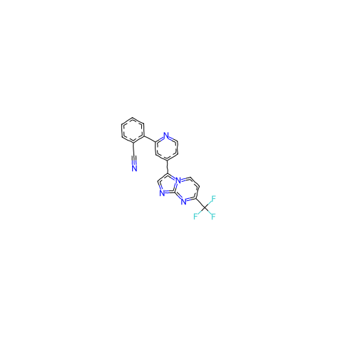 N#Cc1ccccc1-c1cc(-c2cnc3nc(C(F)(F)F)ccn23)ccn1